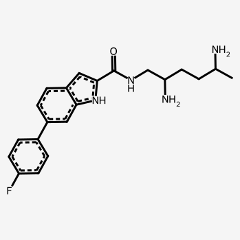 CC(N)CCC(N)CNC(=O)c1cc2ccc(-c3ccc(F)cc3)cc2[nH]1